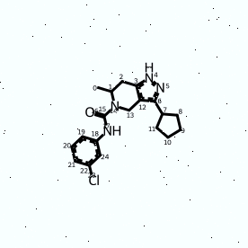 CC1Cc2[nH]nc(C3CCCC3)c2CN1C(=O)Nc1cccc(Cl)c1